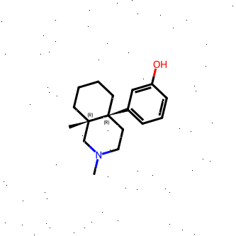 CN1CC[C@@]2(c3cccc(O)c3)CCCC[C@@]2(C)C1